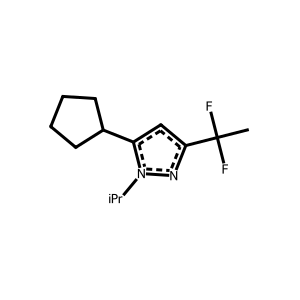 CC(C)n1nc(C(C)(F)F)cc1C1CCCC1